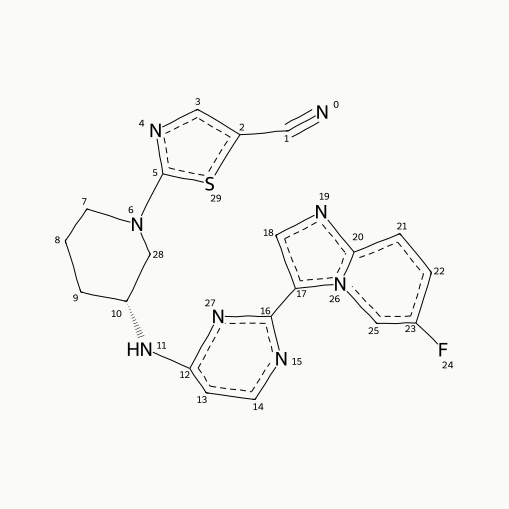 N#Cc1cnc(N2CCC[C@@H](Nc3ccnc(-c4cnc5ccc(F)cn45)n3)C2)s1